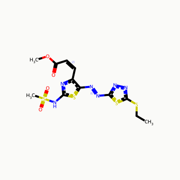 CCSc1nnc(/N=N/c2sc(NS(C)(=O)=O)nc2/C=C\C(=O)OC)s1